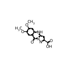 COc1cc2[nH]c3cc(C(=O)O)nn3c(=O)c2cc1OC